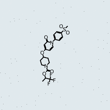 CC(OC(=O)N1CCC(Oc2ccn(-c3ccc(S(C)(=O)=O)cc3)c(=O)c2)CC1)C(F)(F)F